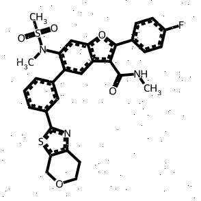 CNC(=O)c1c(-c2ccc(F)cc2)oc2cc(N(C)S(C)(=O)=O)c(-c3cccc(-c4nc5c(s4)COCC5)c3)cc12